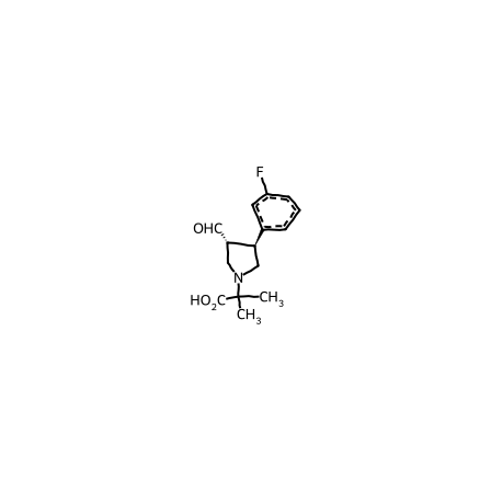 CC(C)(C(=O)O)N1C[C@H](c2cccc(F)c2)[C@@H](C=O)C1